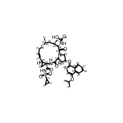 CC(C)Oc1cnc(O[C@@H]2C[C@H]3C(=O)N[C@]4(C(=O)NS(=O)(=O)C5CC5)C[C@H]4C=CCC[C@@H](C)C[C@@H](C)[C@H](NC(=O)O)C(=O)N3C2)c2ccccc12